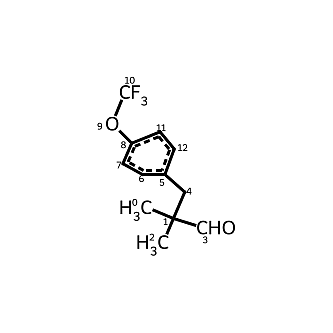 CC(C)(C=O)Cc1ccc(OC(F)(F)F)cc1